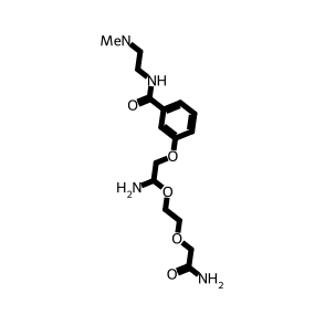 CNCCNC(=O)c1cccc(OCC(N)OCCOCC(N)=O)c1